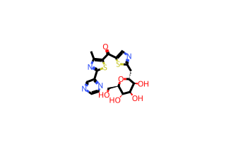 Cc1nc(-c2cnccn2)sc1C(=O)c1cnc(C[C@H]2O[C@H](CO)[C@@H](O)[C@H](O)[C@@H]2O)s1